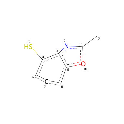 Cc1nc2c(S)cccc2o1